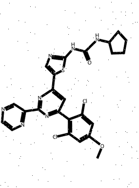 COc1cc(Cl)c(-c2cc(-c3cnc(NC(=O)NC4CCCC4)s3)nc(-c3cnccn3)n2)c(Cl)c1